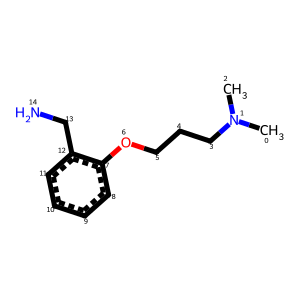 CN(C)CCCOc1ccccc1CN